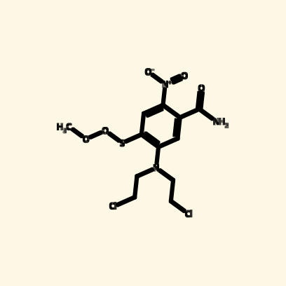 COOSc1cc([N+](=O)[O-])c(C(N)=O)cc1N(CCCl)CCCl